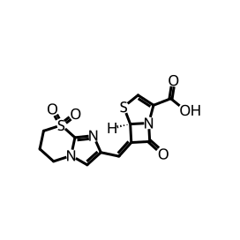 O=C(O)C1=CS[C@@H]2/C(=C\c3cn4c(n3)S(=O)(=O)CCC4)C(=O)N12